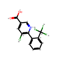 O=C(O)c1cnc(-c2ccccc2C(F)(F)F)c(Cl)c1